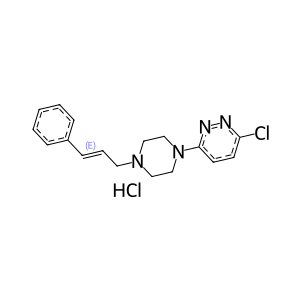 Cl.Clc1ccc(N2CCN(C/C=C/c3ccccc3)CC2)nn1